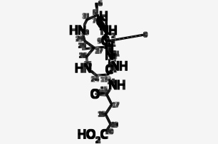 CC1CNC[C@]2(C)CNCC3CN[C@](NC(=O)CCCC(=O)O)(CNC1)CNCC3(C)CNC2